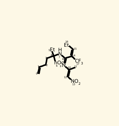 C=CCCC(CC)(CCCCCCCC)NC(=N/C(C)=C/[N+](=O)[O-])/C(=C\CC)C(F)(F)F